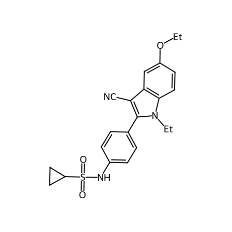 CCOc1ccc2c(c1)c(C#N)c(-c1ccc(NS(=O)(=O)C3CC3)cc1)n2CC